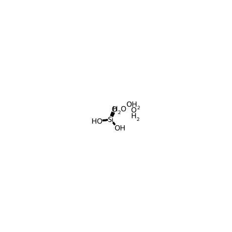 O.O.O.O=[Si](O)O